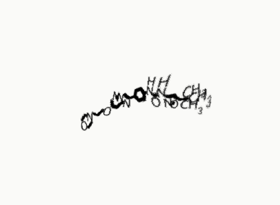 CC(C)(C)c1cc(NC(=O)Nc2ccc(-c3cn4ncc(OCCCN5CCOCC5)cc4n3)cc2)no1